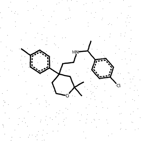 Cc1ccc(C2(CCNC(C)c3ccc(Cl)cc3)CCOC(C)(C)C2)cc1